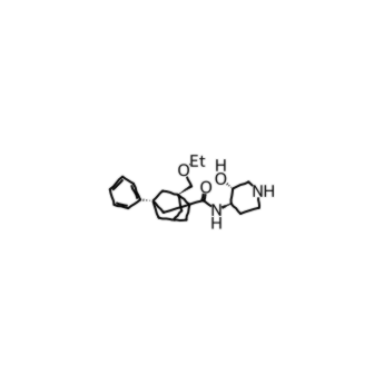 CCOC[C@]12CC3CC1(C(=O)N[C@@H]1CCNC[C@H]1O)C[C@@](c1ccccc1)(C3)C2